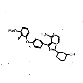 COc1cccc(Oc2ccc(-c3nc(C4CCCC(O)C4)n4ccnc(N)c34)cc2)c1F